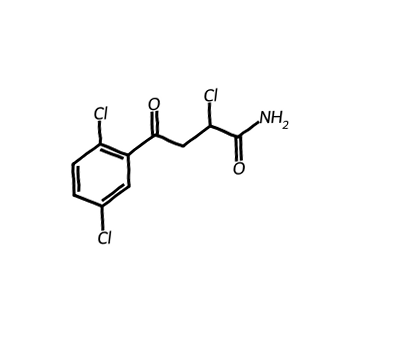 NC(=O)C(Cl)CC(=O)c1cc(Cl)ccc1Cl